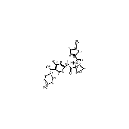 CC(=O)N1CCN(C(=O)c2ccc(NC(=O)C3(NC(=O)c4ccc(Br)s4)CCOC3)cc2C)CC1